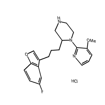 COc1cccnc1N1CCNCC1CCCc1coc2ccc(F)cc12.Cl